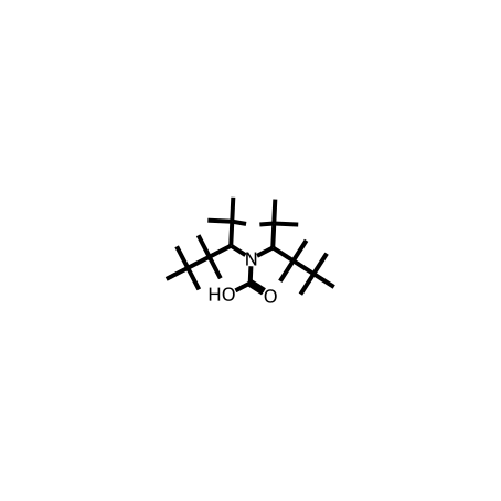 CC(C)(C)C(N(C(=O)O)C(C(C)(C)C)C(C)(C)C(C)(C)C)C(C)(C)C(C)(C)C